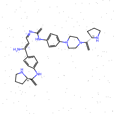 C=C(/N=C\C=C(/N)c1ccc(NC(=C)[C@H]2CCCN2)cc1)Nc1ccc(N2CCN(C(=C)[C@@H]3CCCN3)CC2)cc1